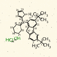 CC(C)(C)c1ccc2c(c1)-c1cc(C(C)(C)C)c[c]([Zr]([C]3=CC=CC3)=[C]3CCCCC3)c1C2.Cl.Cl